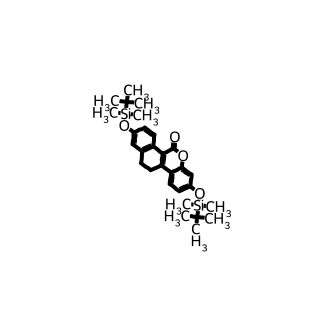 CC(C)(C)[Si](C)(C)Oc1ccc2c(c1)CCc1c-2c(=O)oc2cc(O[Si](C)(C)C(C)(C)C)ccc12